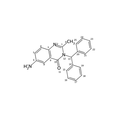 Cc1nc2ccc(N)cc2c(=O)n1C(c1ccccc1)c1ccccc1